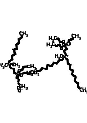 CCCCCCCCCCC[N+](C)(C)CCC[Si](OCCC)(OCCC)OCCC.CCCCCCCCCCC[N+](C)(CCCCCCCCCCC)CCC[Si](OCCC)(OCCC)OCCC.[Cl-].[Cl-]